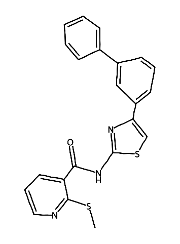 CSc1ncccc1C(=O)Nc1nc(-c2cccc(-c3ccccc3)c2)cs1